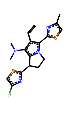 C=Cc1c(N(C)C)c2n(c1-c1nc(C)cs1)CCC2c1nc(Cl)cs1